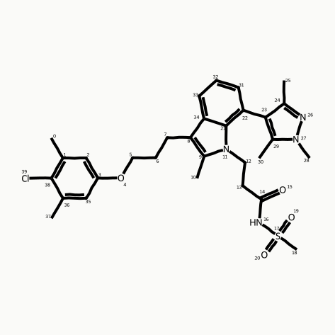 Cc1cc(OCCCc2c(C)n(CCC(=O)NS(C)(=O)=O)c3c(-c4c(C)nn(C)c4C)cccc23)cc(C)c1Cl